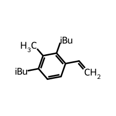 C=Cc1ccc(C(C)CC)c(C)c1C(C)CC